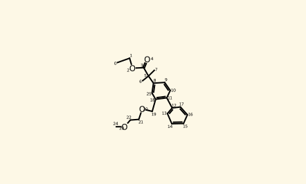 CCOC(=O)C(C)(C)c1ccc(-c2ccccc2)c(COCCOC)c1